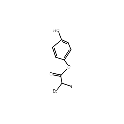 CCC(I)C(=O)Oc1ccc(O)cc1